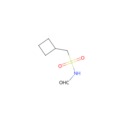 O=CNS(=O)(=O)CC1CCC1